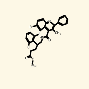 Cc1c(-c2ccccc2)nc2ccc(Br)cc2c1C(=O)NCC(CCC(=O)OC(C)(C)C)c1c(F)cccc1Cl